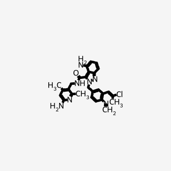 C=Nc1ccc(Cn2nc3cccc(N)c3c2C(=O)NCc2c(C)cc(N)nc2C)cc1/C=C(\C)Cl